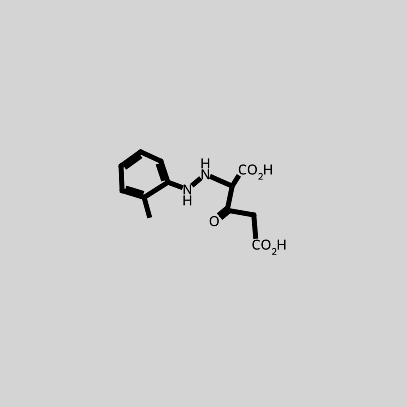 Cc1ccccc1NNC(C(=O)O)C(=O)CC(=O)O